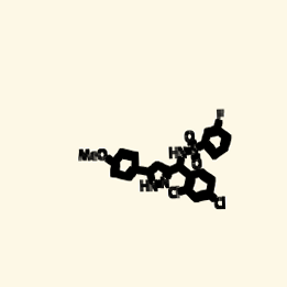 COc1ccc(C2CC(C(NS(=O)(=O)c3cccc(F)c3)c3ccc(Cl)cc3Cl)=NN2)cc1